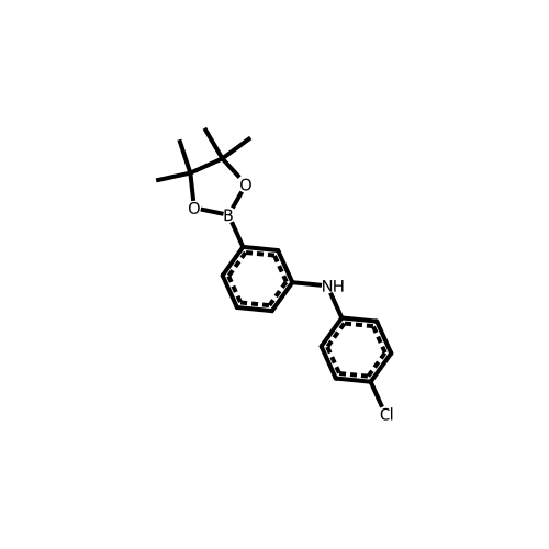 CC1(C)OB(c2cccc(Nc3ccc(Cl)cc3)c2)OC1(C)C